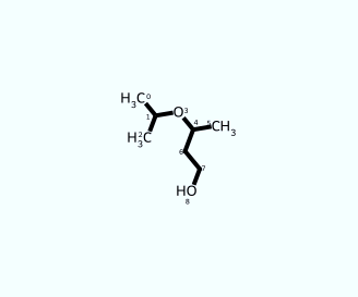 CC(C)OC(C)CCO